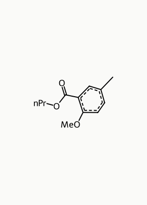 CCCOC(=O)c1cc(C)ccc1OC